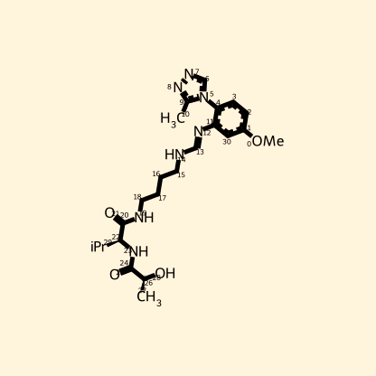 COc1ccc(-n2cnnc2C)c(/N=C/NCCCCNC(=O)[C@@H](NC(=O)[C@H](C)O)C(C)C)c1